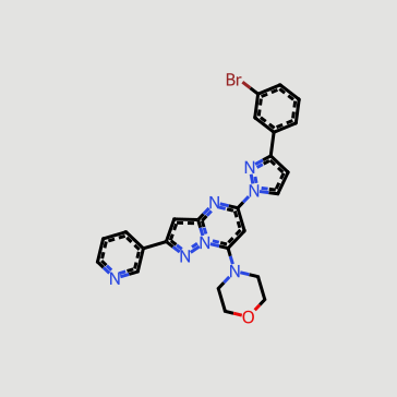 Brc1cccc(-c2ccn(-c3cc(N4CCOCC4)n4nc(-c5cccnc5)cc4n3)n2)c1